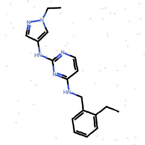 CCc1ccccc1CNc1ccnc(Nc2cnn(CC)c2)n1